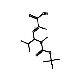 C/C(=C\C(C(C)C)N(C)C(=O)OC(C)(C)C)C(=O)O